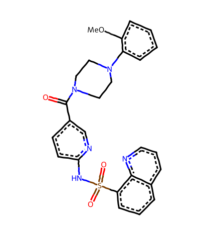 COc1ccccc1N1CCN(C(=O)c2ccc(NS(=O)(=O)c3cccc4cccnc34)nc2)CC1